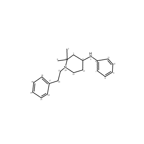 CC1(C)CC(Nc2ccccc2)CCN1CCc1ccccc1